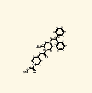 CC(C)(C)OC(=O)N1CCC(CC(=O)N2CCN(CC(c3ccccc3)c3ccccc3)C[C@@H]2C(C)(C)C)CC1